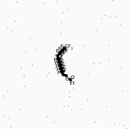 CCC(=O)OCCC(F)(F)C(F)(F)C(F)(F)C(F)(F)C(F)(F)CC(F)(F)C(F)(F)C(F)(F)C(F)(F)F